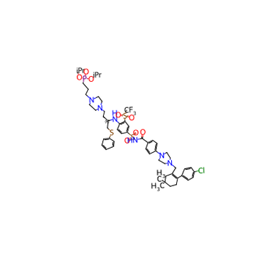 CC(C)OP(=O)(CCCN1CCN(CC[C@H](CSc2ccccc2)Nc2ccc(S(=O)(=O)NC(=O)c3ccc(N4CCN(CC5=C(c6ccc(Cl)cc6)CCC(C)(C)C5)CC4)cc3)cc2S(=O)(=O)C(F)(F)F)CC1)OC(C)C